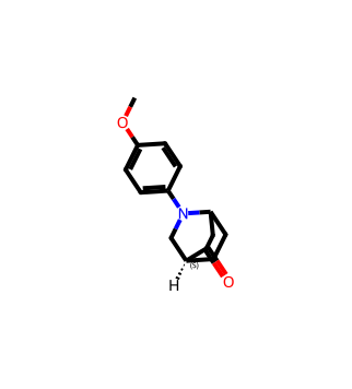 COc1ccc(N2C[C@@H]3CCC2CC3=O)cc1